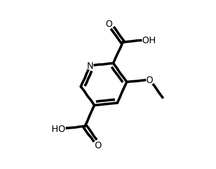 COc1cc(C(=O)O)cnc1C(=O)O